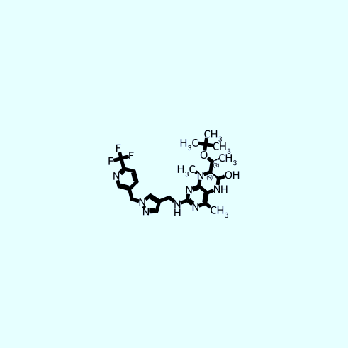 Cc1nc(NCc2cnn(Cc3ccc(C(F)(F)F)nc3)c2)nc2c1NC(O)[C@H]([C@@H](C)OC(C)(C)C)N2C